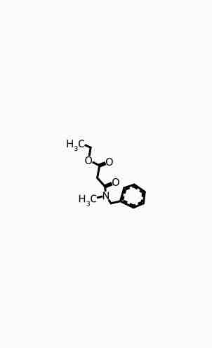 CCOC(=O)CC(=O)N(C)Cc1ccccc1